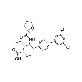 O=C(O)C(O)C(O)C(Cc1ccc(-c2cc(Cl)cc(Cl)c2)cc1)NC(=O)[C@H]1CCCO1